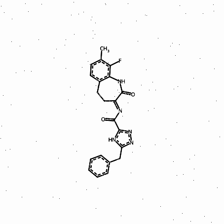 Cc1ccc2c(c1F)NC(=O)/C(=N/C(=O)c1nnc(Cc3ccccc3)[nH]1)CC2